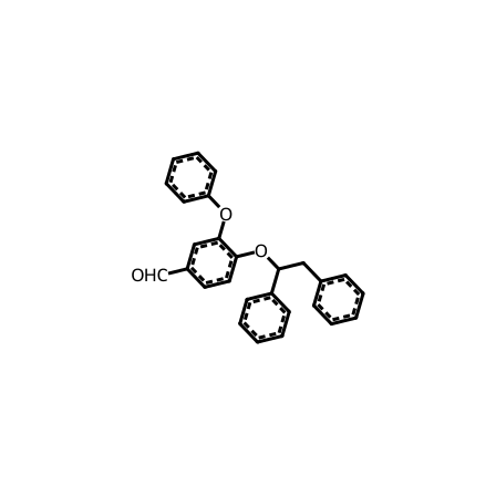 O=Cc1ccc(OC(Cc2ccccc2)c2ccccc2)c(Oc2ccccc2)c1